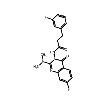 CN(C)c1nc2cc(F)ccc2c(=O)n1NC(=O)CCc1cccc(F)c1